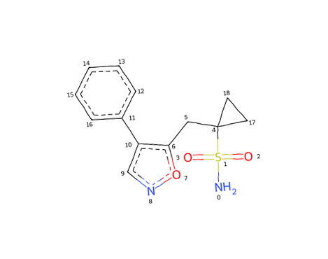 NS(=O)(=O)C1(Cc2oncc2-c2ccccc2)CC1